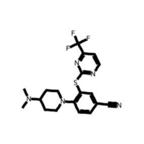 CN(C)C1CCN(c2ccc(C#N)cc2Sc2nccc(C(F)(F)F)n2)CC1